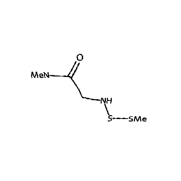 CNC(=O)CNSSC